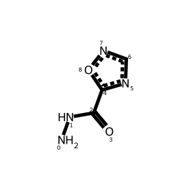 NNC(=O)c1ncno1